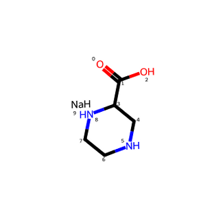 O=C(O)C1CNCCN1.[NaH]